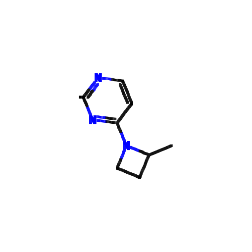 CC1CCN1c1ccn[c]n1